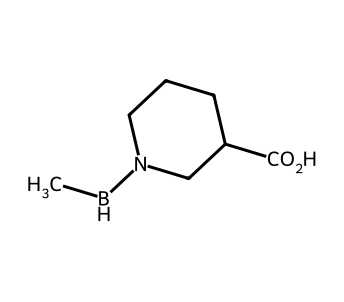 CBN1CCCC(C(=O)O)C1